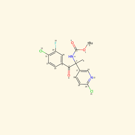 CC(C)(C)OC(=O)NC(C)(C(=O)c1ccc(Cl)c(F)c1)c1ccc(Cl)nc1